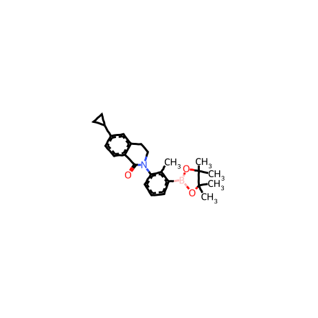 Cc1c(B2OC(C)(C)C(C)(C)O2)cccc1N1CCc2cc(C3CC3)ccc2C1=O